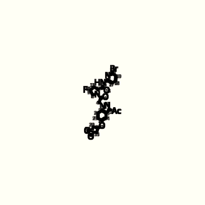 CC(=O)c1nn(CC(=O)N2C[C@H](F)C[C@H]2C(=O)Nc2cccc(Br)n2)c2ccc(OC3CS(=O)(=O)C3)cc12